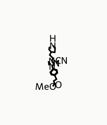 COC(=O)CCc1ccc(N2CCN(CCC3CCNCC3)/C2=N\C#N)cc1